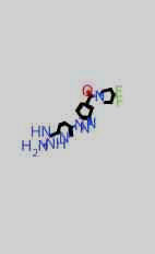 N=C(NN)c1ccc(-n2nnc3cc(C(=O)N4CCC(F)(F)CC4)ccc32)cn1